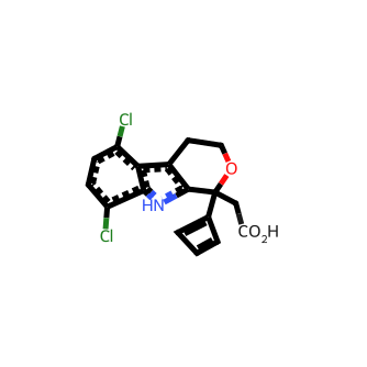 O=C(O)CC1(C2=CC=C2)OCCc2c1[nH]c1c(Cl)ccc(Cl)c21